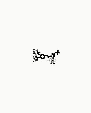 CN(C)S(=O)(=O)n1cc(CC(C)(C)C)nc1C(=O)Cc1ccc(-c2cn(C)nc2N(C(=O)O)C(C)(C)C)cc1